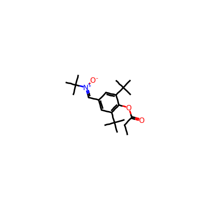 CCC(=O)Oc1c(C(C)(C)C)cc(C=[N+]([O-])C(C)(C)C)cc1C(C)(C)C